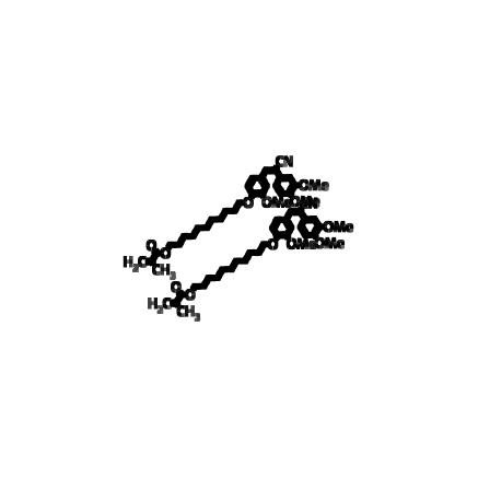 C=C(C)C(=O)OCCCCCCCCCCCOc1ccc(C=C(C#N)c2ccc(OC)c(OC)c2)cc1OC.C=C(C)C(=O)OCCCCCCCCCCCOc1ccc(C=C(C#N)c2ccc(OC)c(OC)c2)cc1OC